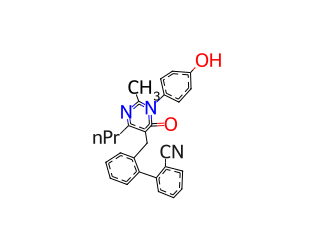 CCCc1nc(C)n(-c2ccc(O)cc2)c(=O)c1Cc1ccccc1-c1ccccc1C#N